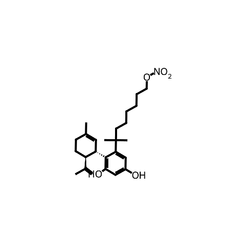 C=C(C)[C@H]1CCC(C)=C[C@@H]1c1c(O)cc(O)cc1C(C)(C)CCCCCCO[N+](=O)[O-]